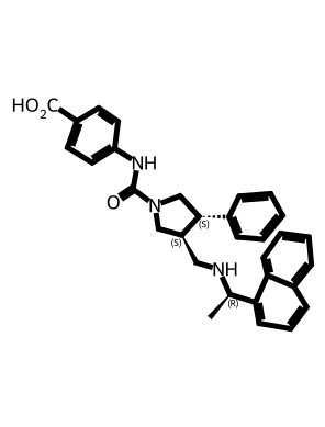 C[C@@H](NC[C@H]1CN(C(=O)Nc2ccc(C(=O)O)cc2)C[C@@H]1c1ccccc1)c1cccc2ccccc12